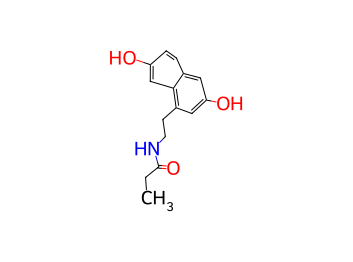 CCC(=O)NCCc1cc(O)cc2ccc(O)cc12